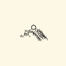 CC(C)=O.CC(C)=O.CC(C)=O.CC(C)=O.CC(C)=O.CC(C)=O.CC(C)=O.CC(C)=O.CC(C)=O.Cc1ccccc1